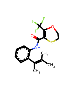 CC(C)=C(C)c1ccccc1NC(=O)C1=C(C(F)(F)F)OCCS1